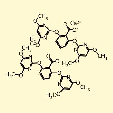 COc1cc(OC)nc(Oc2cccc(Oc3nc(OC)cc(OC)n3)c2C(=O)[O-])n1.COc1cc(OC)nc(Oc2cccc(Oc3nc(OC)cc(OC)n3)c2C(=O)[O-])n1.[Ca+2]